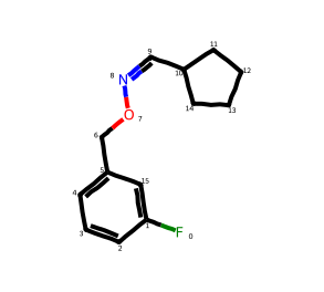 Fc1cccc(CO/N=[C]\C2CCCC2)c1